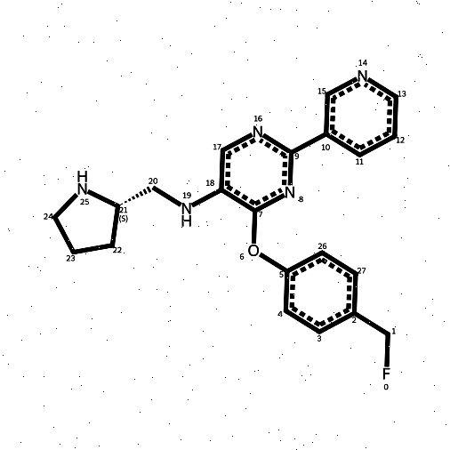 FCc1ccc(Oc2nc(-c3cccnc3)ncc2NC[C@@H]2CCCN2)cc1